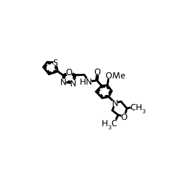 COc1cc(N2CC(C)OC(C)C2)ccc1C(=O)NCc1nnc(-c2cccs2)o1